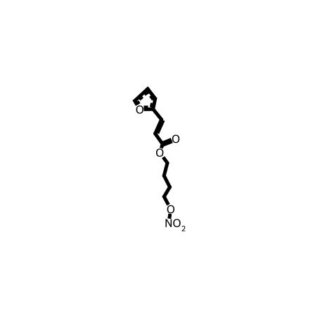 O=C(/C=C/c1ccco1)OCCCCO[N+](=O)[O-]